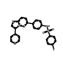 O=S(=O)(Nc1ccc(-c2ccc3ncc(-c4ccncc4)n3n2)cc1)c1ccc(F)cc1